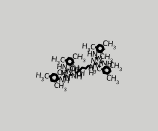 [3H]C([3H])(CCCNc1nc(Nc2c(C)cc(C)cc2C)nc(Nc2c(C)cc(C)cc2C)n1)C([3H])([3H])Nc1nc(Nc2c(C)cc(C)cc2C)nc(Nc2c(C)cc(C)cc2C)n1